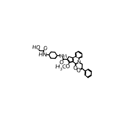 COC1=C(C(=O)NC2CCC(NC(=O)CO)CC2)Cc2c1c(=O)n(CC(=O)c1ccccc1)c1ccccc21